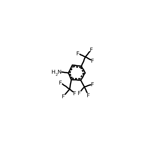 Nc1cc(C(F)(F)F)cc(C(F)(F)F)c1C(F)(F)F